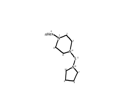 CCCCCCN1CCN(SN2CCCC2)CC1